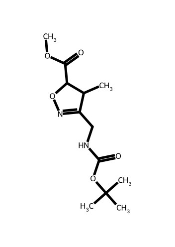 COC(=O)C1ON=C(CNC(=O)OC(C)(C)C)C1C